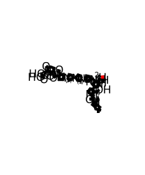 [2H]C([2H])([2H])Oc1ncc(-c2ccnc(N3CCn4c(cc5c4CC(C)(C)C5)C3=O)c2[C@@H](C)O)cc1Nc1ccc(N2CCN(C3CCN(c4ccc5c(c4)C(=O)N(C4CCC(=O)N(COP(=O)(O)O)C4=O)C5=O)[C@@H](C)C3)C[C@@H]2C)cn1